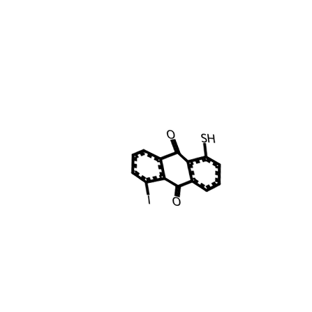 O=C1c2cccc(I)c2C(=O)c2cccc(S)c21